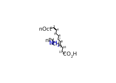 CCCC.CCCCCCCC/C=C\CCCCCCCC(=O)O.N